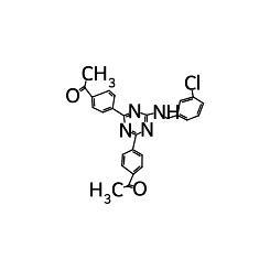 CC(=O)c1ccc(-c2nc(NCc3cccc(Cl)c3)nc(-c3ccc(C(C)=O)cc3)n2)cc1